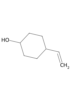 C=CC1CCC(O)CC1